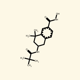 CC(C)(C)C(=O)NC1Cc2ccc(C(=O)NO)cc2C(C)(C)C1